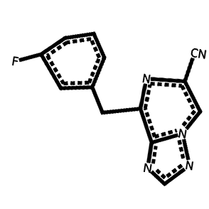 N#Cc1cn2ncnc2c(Cc2cccc(F)c2)n1